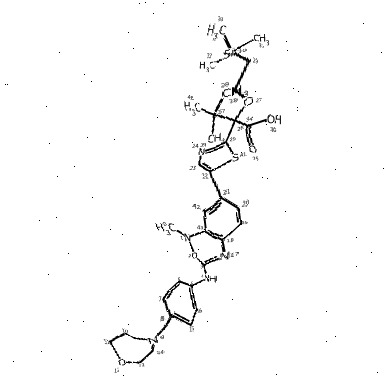 CN1OC(Nc2ccc(N3CCOCC3)cc2)=Nc2ccc(-c3cnc(C(OCC[Si](C)(C)C)(C(=O)O)C(C)(C)C)s3)cc21